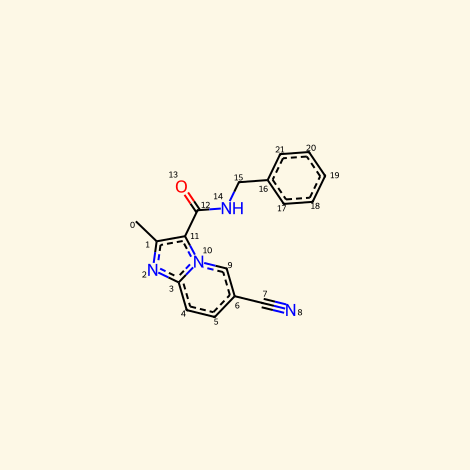 Cc1nc2ccc(C#N)cn2c1C(=O)NCc1ccccc1